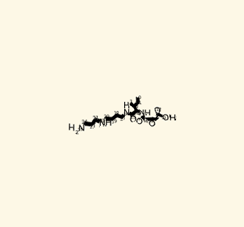 CCC(C)C(NC(=O)[C@H]1O[C@@H]1C(=O)O)C(=O)NCCCCNCCCN